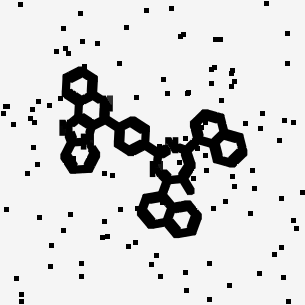 CC1=C=C(c2cccc3ccccc23)N=C(c2ccc(-c3nc4ccccc4c4nc5ccccn5c34)cc2)N=C1c1cccc2ccccc12